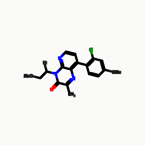 CCC(COC)n1c(=O)c(C)nc2c(-c3ccc(OC)cc3Cl)ccnc21